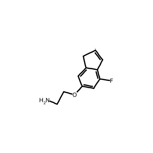 NCCOc1cc(F)c2c(c1)C[C]=C2